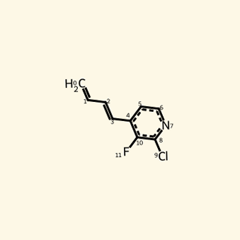 C=C/C=C/c1ccnc(Cl)c1F